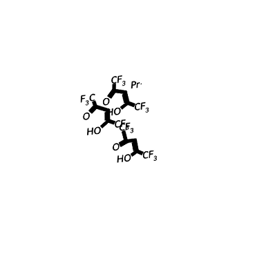 O=C(C=C(O)C(F)(F)F)C(F)(F)F.O=C(C=C(O)C(F)(F)F)C(F)(F)F.O=C(C=C(O)C(F)(F)F)C(F)(F)F.[Pr]